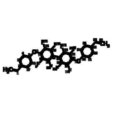 C=Cc1ccc(Oc2c(F)c(F)c(-c3c(F)c(F)c(Oc4ccc(C=C)cc4)c(F)c3F)c(F)c2F)cc1